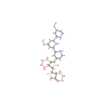 CCc1ccnc(-c2cc(CC)cc(-c3cc(-c4sc(-c5scc6c5OCCO6)c5c4OCCO5)ccn3)n2)c1